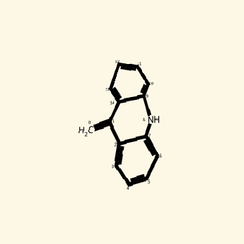 C=C1c2ccccc2Nc2ccccc21